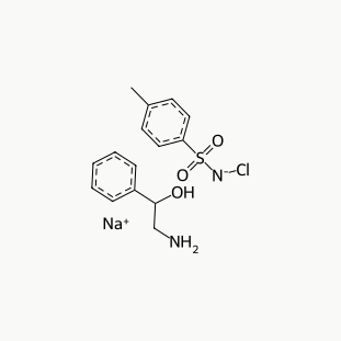 Cc1ccc(S(=O)(=O)[N-]Cl)cc1.NCC(O)c1ccccc1.[Na+]